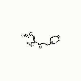 CCOC(=O)C=C(C)NCCN1CCOCC1